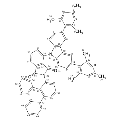 Cc1cc(C)c(-c2ccc3c(c2)c2cc(-c4c(C)cc(C)cc4C)ccc2n3-c2cccc3c2C(=O)N(c2cccc(-c4ccccc4)c2-c2ccccc2)C3=O)c(C)c1